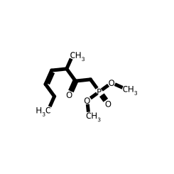 CC/C=C\C(C)C(=O)CP(=O)(OC)OC